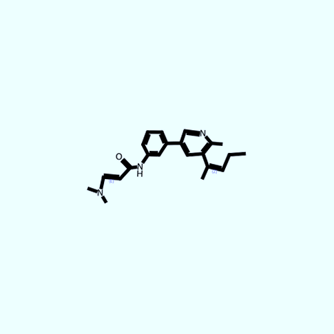 CC/C=C(/C)c1cc(-c2cccc(NC(=O)/C=C/N(C)C)c2)cnc1C